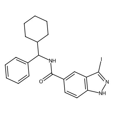 O=C(NC(c1ccccc1)C1CCCCC1)c1ccc2[nH]nc(I)c2c1